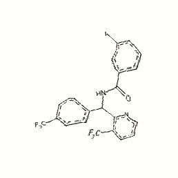 O=C(NC(c1ccc(C(F)(F)F)cc1)c1ncccc1C(F)(F)F)c1cccc(I)c1